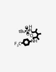 CC(CNS(=O)(=O)C(C)(C)C)C(C)C(C)C(=O)Nc1ccc(C(F)(F)F)cc1